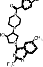 Cc1ccc2nc(C(F)(F)F)nc(N3CC(O)C(N4CCN(C(=O)c5ccc(Cl)cc5)CC4)C3)c2c1